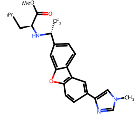 COC(=O)[C@H](CC(C)C)N[C@@H](c1ccc2c(c1)oc1ccc(-c3cn(C)cn3)cc12)C(F)(F)F